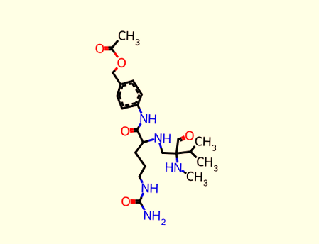 CNC(C=O)(CNC(CCCNC(N)=O)C(=O)Nc1ccc(COC(C)=O)cc1)C(C)C